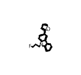 FCCCn1c2ccccc2c2cc(-c3ccco3)ccc21